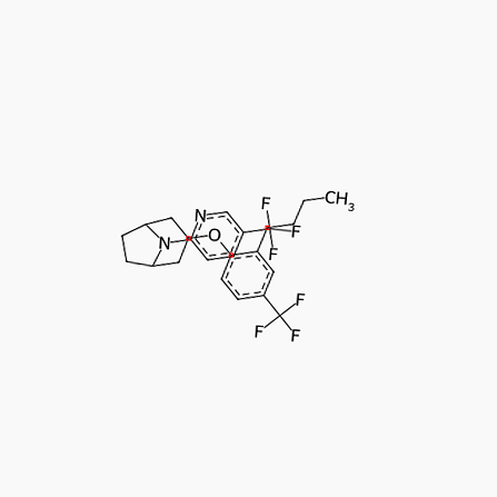 CCCCc1cc(C(F)(F)F)ccc1OC1CC2CCC(C1)N2c1ccc(C(F)(F)F)cn1